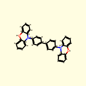 c1ccc2c(c1)Oc1ccccc1N2c1ccc(-c2ccc(N3c4ccccc4Oc4ccccc43)cc2)cc1